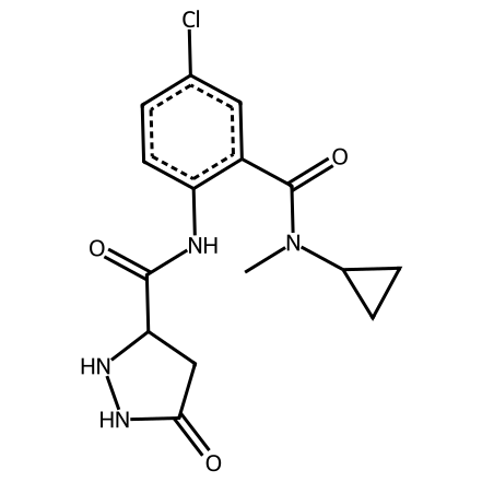 CN(C(=O)c1cc(Cl)ccc1NC(=O)C1CC(=O)NN1)C1CC1